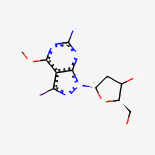 CCCOc1nc(N)nc2c1c(I)nn2[C@H]1CC(O)[C@@H](CO)O1